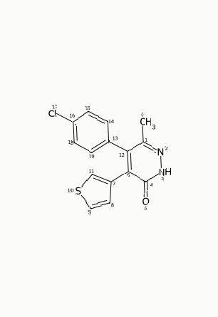 Cc1n[nH]c(=O)c(-c2ccsc2)c1-c1ccc(Cl)cc1